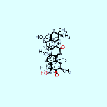 C=C1C[C@]2(C)C3=CC(=O)[C@@H]4[C@@H]5CC(C)(C)CC[C@]5(C(=O)O)CC[C@@]4(C)[C@]3(C)CC[C@H]2[C@@](C)(CO)C1=O